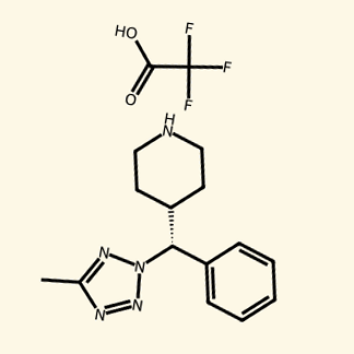 Cc1nnn([C@@H](c2ccccc2)C2CCNCC2)n1.O=C(O)C(F)(F)F